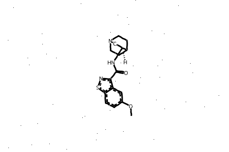 COc1ccc2snc(C(=O)N[C@H]3CN4CCC3CC4)c2c1